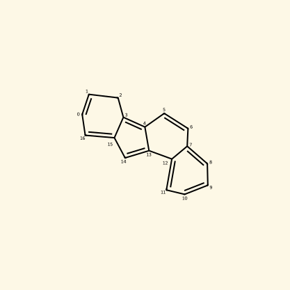 C1=CCC2=c3ccc4ccccc4c3=CC2=C1